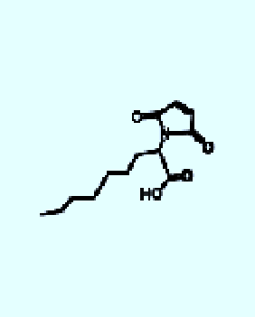 CCCCCCCC(C(=O)O)N1C(=O)C=CC1=O